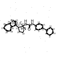 O=C(Nc1ccc(-c2ccccc2)cc1)N[C@]1(C(=O)O)NCCC1c1csc2ccccc12